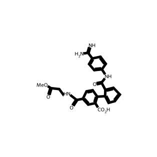 COC(=O)CCNC(=O)c1ccc(-c2ccccc2C(=O)Nc2ccc(C(=N)N)cc2)c(C(=O)O)c1